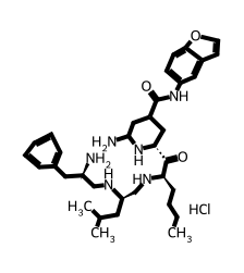 CCCC[C@@H](NC[C@@H](CC(C)C)NC[C@H](N)Cc1ccccc1)C(=O)[C@H]1CC(C(=O)Nc2ccc3occc3c2)CC(N)N1.Cl